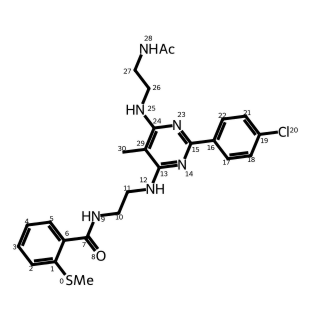 CSc1ccccc1C(=O)NCCNc1nc(-c2ccc(Cl)cc2)nc(NCCNC(C)=O)c1C